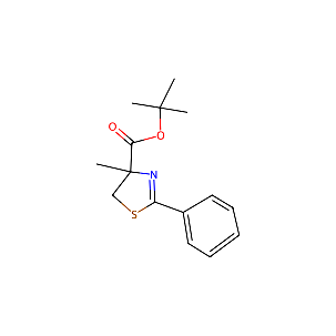 CC(C)(C)OC(=O)C1(C)CSC(c2ccccc2)=N1